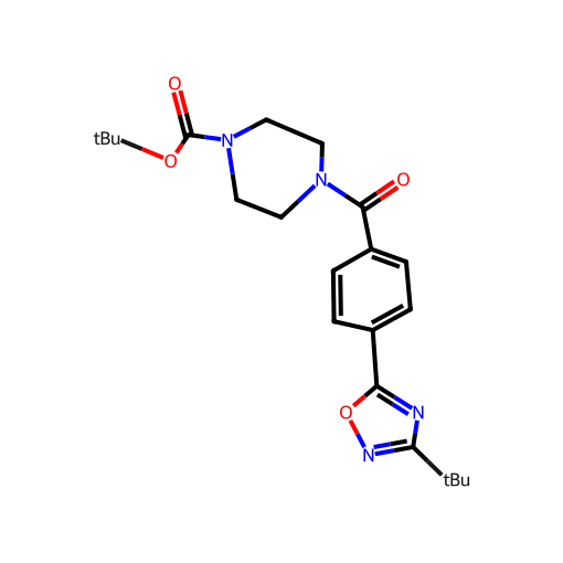 CC(C)(C)OC(=O)N1CCN(C(=O)c2ccc(-c3nc(C(C)(C)C)no3)cc2)CC1